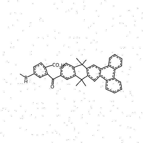 CBc1ccc(C(=O)O)c(C(=O)c2ccc3c(c2)C(C)(C)c2cc4c5ccccc5c5ccccc5c4cc2C3(C)C)c1